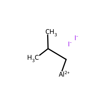 CC(C)[CH2][Al+2].[I-].[I-]